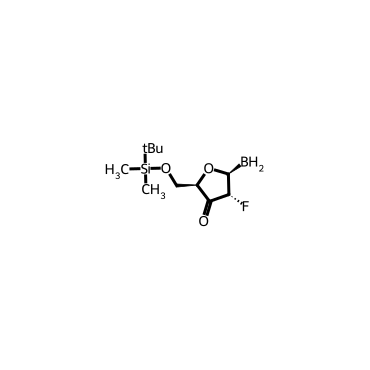 B[C@@H]1O[C@H](CO[Si](C)(C)C(C)(C)C)C(=O)[C@H]1F